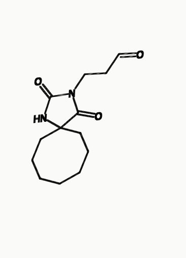 O=CCCN1C(=O)NC2(CCCCCCC2)C1=O